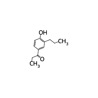 CCCc1cc(C(=O)CC)ccc1O